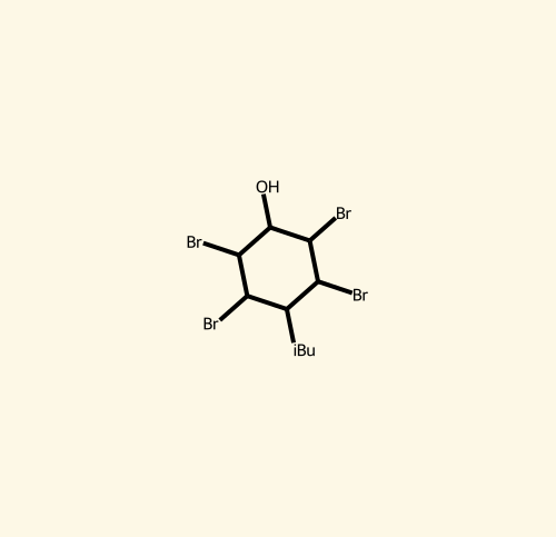 CCC(C)C1C(Br)C(Br)C(O)C(Br)C1Br